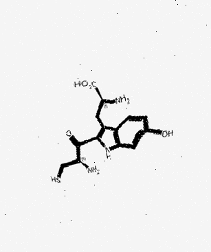 N[C@@H](Cc1c(C(=O)[C@@H](N)CS)[nH]c2cc(O)ccc12)C(=O)O